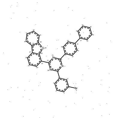 Brc1cccc(-c2nc(-c3ccc(-c4ccccc4)cc3)nc(-c3cccc4c3oc3ccccc34)n2)c1